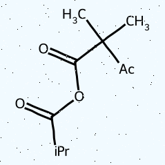 CC(=O)C(C)(C)C(=O)OC(=O)C(C)C